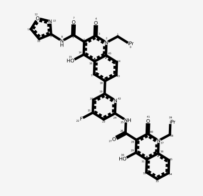 CC(C)Cn1c(=O)c(C(=O)Nc2ccon2)c(O)c2cc(-c3cc(F)cc(NC(=O)c4c(O)c5ccccc5n(CC(C)C)c4=O)n3)ccc21